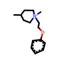 CC1CC[N+](C)(CCOc2ccccc2)CC1